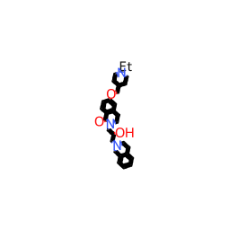 CCN1CCC(COc2ccc3c(c2)CCN(CC(O)CN2CCc4ccccc4C2)C3=O)CC1